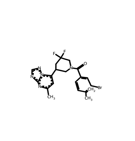 C=C(C)/C=C\C(=C/CBr)C(=O)N1CC(c2cc(C)nc3ncnn23)CC(F)(F)C1